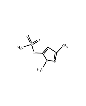 Cn1nc(C(F)(F)F)[c]c1OS(C)(=O)=O